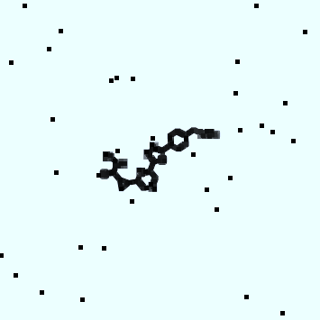 CCNC(=O)C1CC1c1cncc(-c2nnc(-c3ccc(CNC)cc3)o2)n1